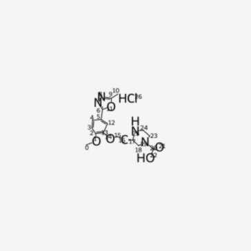 COc1ccc(-c2nnc(C)o2)cc1OCC[C@@H]1CN(C(=O)O)CCN1.Cl